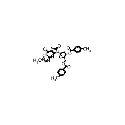 Cc1ccc(C(=O)OC[C@H]2O[C@@H](n3c(=O)sc4c(Cl)nc(/N=C\N(C)C)nc43)C[C@@H]2OC(=O)c2ccc(C)cc2)cc1